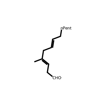 CCCCCCC=CCC(C)=CC[C]=O